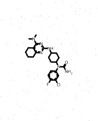 CN(C)c1nc(NC2CCC(N(C(N)=O)c3ccc(F)c(Cl)c3)CC2)nc2c1CCCC2